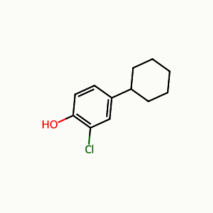 Oc1ccc(C2CCCCC2)cc1Cl